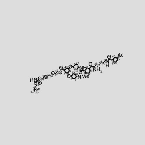 CNc1ccc(Oc2cc(Oc3ccc(NC(=O)c4cccc(C(=O)C(N)CCCCCNC(=O)c5cccc(C(C)=O)c5)c4)cc3)cc(C(=O)OCCOCCOCCOP(=O)(O)OCC[N+](C)(C)C)c2)cc1